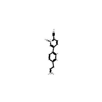 C=CCc1ccc(-c2ccc(C#N)[n+]([O-])c2)cc1